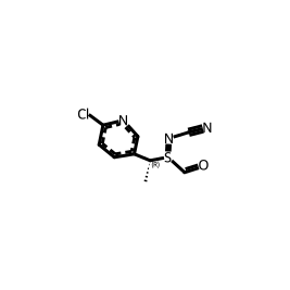 C[C@H](c1ccc(Cl)nc1)S(C=O)=NC#N